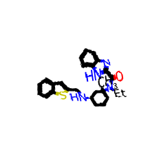 CCN(C(=O)c1nc2ccccc2[nH]1)C1(C)CCC[C@@H](NCc2cc3ccccc3s2)C1